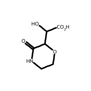 O=C(O)C(O)C1OCCNC1=O